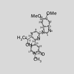 COc1cc2ncn(-c3ccc([C@H](C)O)c(-c4ccn(C)c(=O)c4)n3)c2cc1OC